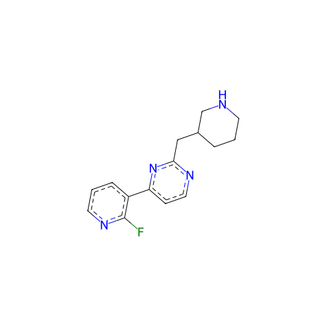 Fc1ncccc1-c1ccnc(CC2CCCNC2)n1